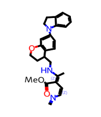 C=N/C=C\C(C(=O)OC)=C(/C)NCC1CCOc2cc(N3CCc4ccccc43)ccc21